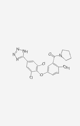 O=C(c1cc(Oc2c(Cl)cc(-c3nnn[nH]3)cc2Cl)ccc1O)N1CCCC1